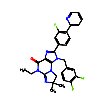 CCN1C(=O)c2nc(-c3ccc(-c4ccccn4)c(F)c3)n(Cc3ccc(F)c(F)c3)c2N2CC(C)(C)N=C12